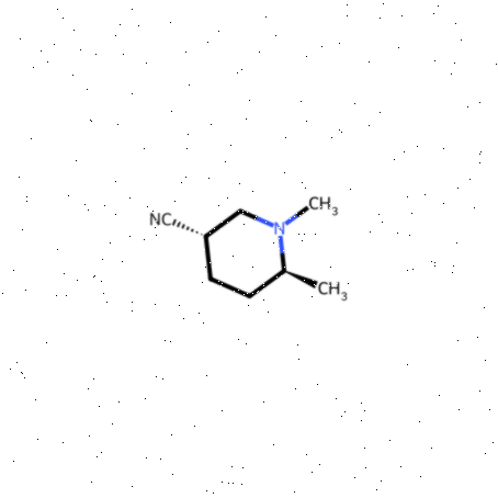 C[C@H]1CC[C@H](C#N)CN1C